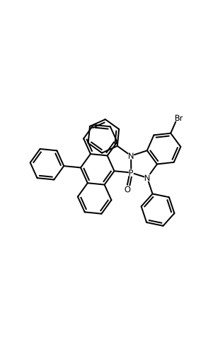 O=P1(c2c3ccccc3c(-c3ccccc3)c3ccccc23)N(c2ccccc2)c2ccc(Br)cc2N1c1ccccc1